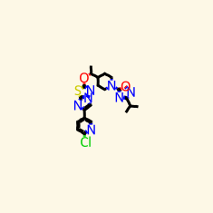 CC(C)c1noc(N2CCC(C(C)Oc3nn4cc(-c5ccc(Cl)nc5)nc4s3)CC2)n1